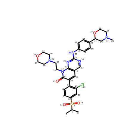 CC(C)S(=O)(=O)c1ccc(-c2cc3cnc(Nc4ccc(C5CN(C)CCO5)cc4)nc3n(CCN3CCOCC3)c2=O)c(Cl)c1